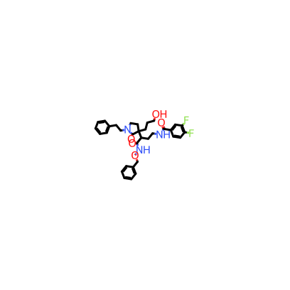 O=C(NCCC(C(=O)NOCc1ccccc1)C1(CCCO)CCN(CCc2ccccc2)C1=O)c1ccc(F)c(F)c1